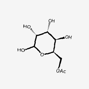 CC(=O)OC[C@H]1OC(O)[C@H](O)[C@H](O)[C@H]1O